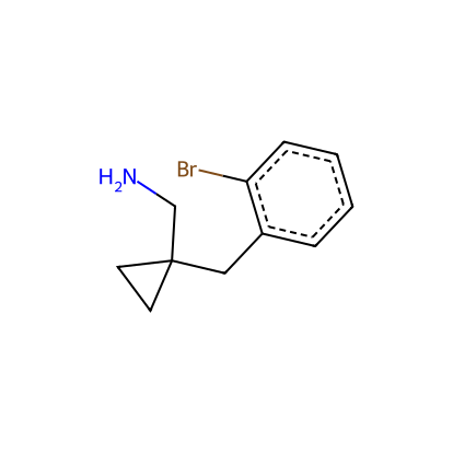 NCC1(Cc2ccccc2Br)CC1